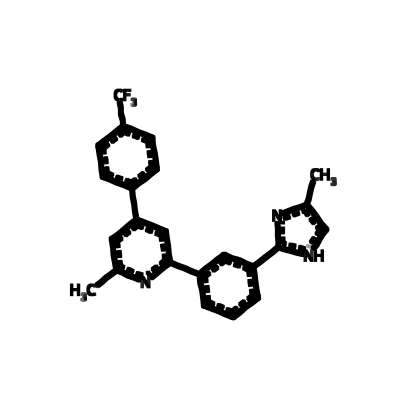 Cc1cc(-c2ccc(C(F)(F)F)cc2)cc(-c2cccc(-c3nc(C)c[nH]3)c2)n1